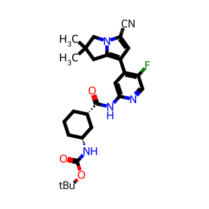 CC1(C)Cc2c(-c3cc(NC(=O)[C@H]4CCC[C@@H](NC(=O)OC(C)(C)C)C4)ncc3F)cc(C#N)n2C1